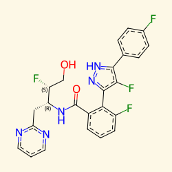 O=C(N[C@H](Cc1ncccn1)[C@H](F)CO)c1cccc(F)c1-c1n[nH]c(-c2ccc(F)cc2)c1F